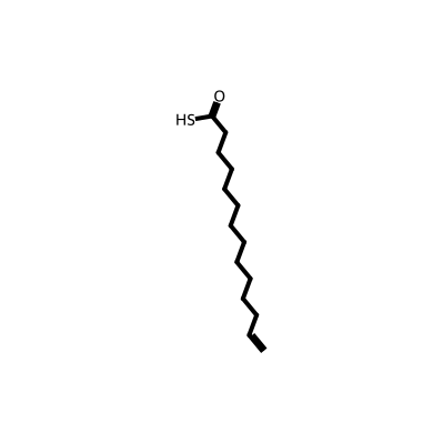 C=CCCCCCCCCCCCC(=O)S